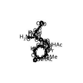 C=C1C(=O)N[C@@H](C)C(=O)N(C)[C@@H](C)C(=O)N[C@@H]([C@H](OC(=O)[C@@H](NC(C)=O)[C@H](OP(=O)(O)OCc2ccc(NC(=O)[C@H](CCCNC(N)=O)NC(=O)[C@@H](NC(=O)CCOCCN3C(=O)C=CC3=O)C(C)C)cc2)C(C)C)C(C)C)C(=O)N(C)[C@@H]([C@@H](C)OC)C(=O)O[C@H](C)[C@H](NC(C)=O)C(=O)O[C@H](Cc2ccccc2)C(=O)N1C